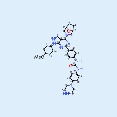 COC1CCC(n2ncc3c(N4CC5CCC(C4)O5)nc(-c4ccc(NC(=O)Nc5ccc(N6CCNCC6)cc5)cc4)nc32)CC1